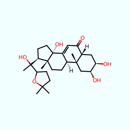 CC1(C)CCC(C(C)(O)[C@H]2CC[C@@]3(O)C4=CC(=O)[C@@H]5C[C@@H](O)[C@@H](O)C[C@]5(C)[C@H]4CC[C@]23C)O1